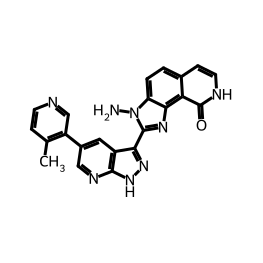 Cc1ccncc1-c1cnc2[nH]nc(-c3nc4c5c(=O)[nH]ccc5ccc4n3N)c2c1